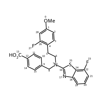 COc1ccc(CCN(Cc2ccc(C(=O)O)cc2)c2nc3cccc(F)c3s2)c(F)c1